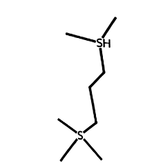 C[SH](C)CCCS(C)(C)C